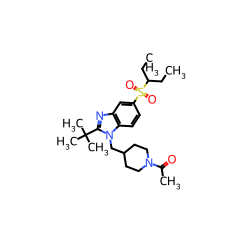 CCC(CC)S(=O)(=O)c1ccc2c(c1)nc(C(C)(C)C)n2CC1CCN(C(C)=O)CC1